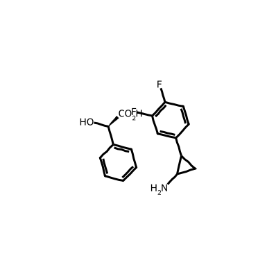 NC1CC1c1ccc(F)c(F)c1.O=C(O)[C@H](O)c1ccccc1